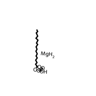 CCCCCCCCCCCCCCCCCC(=O)OS(=O)(=O)O.[MgH2]